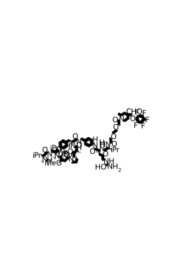 CC[C@H](C)[C@@H]([C@@H](CC(=O)N1CCC[C@H]1[C@H](OC)[C@@H](C)C(=O)N[C@@H](Cc1ccccc1)C(=O)NCc1ccc(NC(=O)[C@H](CCCNC(N)O)NC(=O)[C@@H](NC(=O)COCCOCC(=O)N2CCC(C=O)(COc3c(F)c(F)c(F)c(F)c3F)CC2C)C(C)C)cc1)OC)N(C)C(=O)[C@@H](NC(=O)[C@H](C(C)C)N(C)C)C(C)C